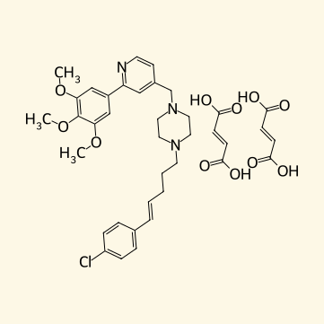 COc1cc(-c2cc(CN3CCN(CCCC=Cc4ccc(Cl)cc4)CC3)ccn2)cc(OC)c1OC.O=C(O)C=CC(=O)O.O=C(O)C=CC(=O)O